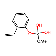 C=Cc1ccccc1O[Si](O)(O)OC